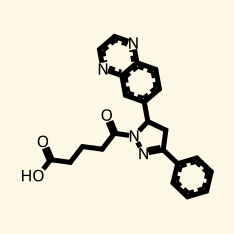 O=C(O)CCCC(=O)N1N=C(c2ccccc2)CC1c1ccc2nccnc2c1